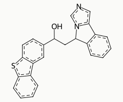 OC(CC1c2ccccc2-c2cncn21)c1ccc2sc3ccccc3c2c1